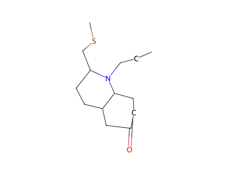 CCCN1C(CSC)CCC2CC(=O)CCC21